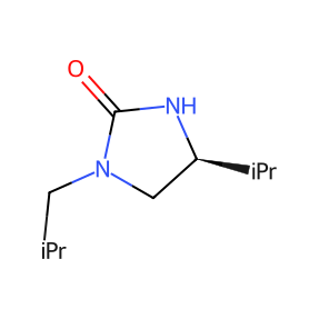 CC(C)CN1C[C@H](C(C)C)NC1=O